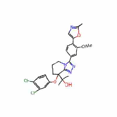 COc1cc(-c2nnc3n2CCCC3(Oc2ccc(Cl)c(Cl)c2)C(C)(C)O)ccc1-c1cnc(C)o1